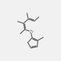 CC=C(C)C(C)=[C](C)[Zr][C]1=C(C)C=CC1